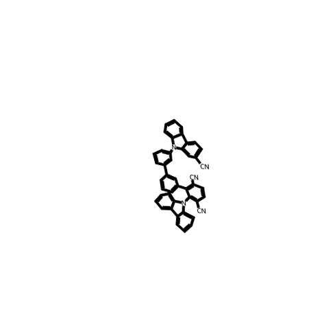 N#Cc1ccc2c3ccccc3n(-c3cccc(-c4cccc(-c5c(C#N)ccc(C#N)c5-n5c6ccccc6c6ccccc65)c4)c3)c2c1